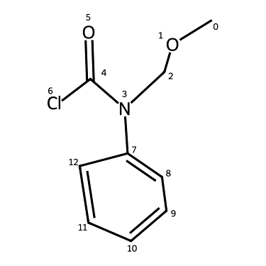 COCN(C(=O)Cl)c1ccccc1